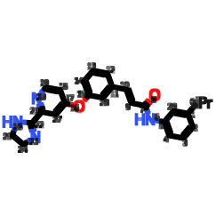 CC(C)c1cccc(NC(=O)C=Cc2cccc(Oc3ccnc(C4=NCCN4)c3)c2)c1